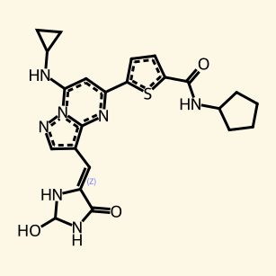 O=C1NC(O)N/C1=C\c1cnn2c(NC3CC3)cc(-c3ccc(C(=O)NC4CCCC4)s3)nc12